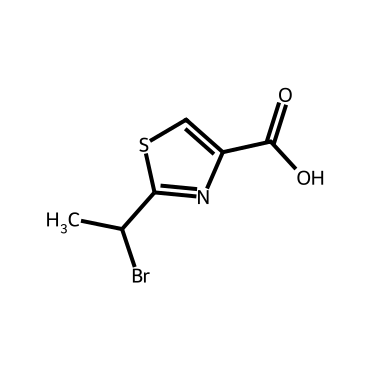 CC(Br)c1nc(C(=O)O)cs1